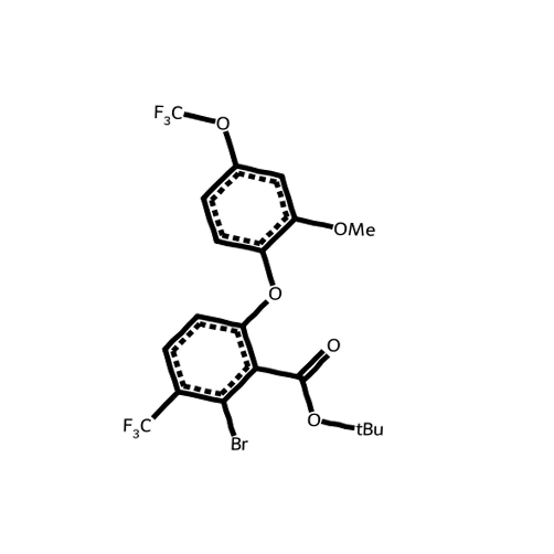 COc1cc(OC(F)(F)F)ccc1Oc1ccc(C(F)(F)F)c(Br)c1C(=O)OC(C)(C)C